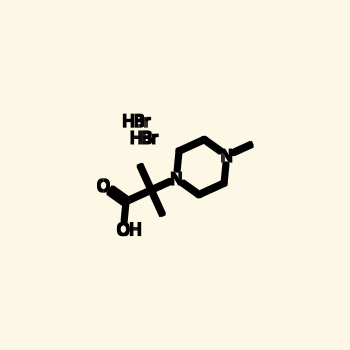 Br.Br.CN1CCN(C(C)(C)C(=O)O)CC1